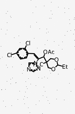 CCC1OCC(C)(C(OC(C)=O)C(=Cc2ccc(Cl)cc2Cl)n2cncn2)CO1